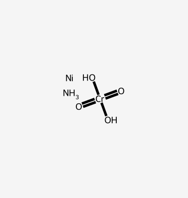 N.[Ni].[O]=[Cr](=[O])([OH])[OH]